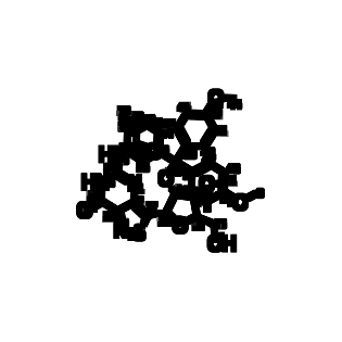 COc1ccc(C(O[C@@H]2[C@H](OC)[C@@H](CO)O[C@H]2c2snc3c(=O)[nH]c(NC(=O)C(C)C)nc23)(c2ccccc2)c2ccc(OC)cc2)cc1